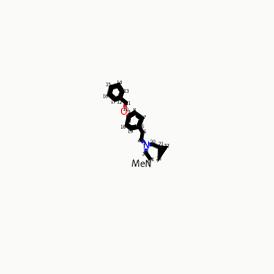 CNCCN(CCc1ccc(OCc2ccccc2)cc1)CC1CC1